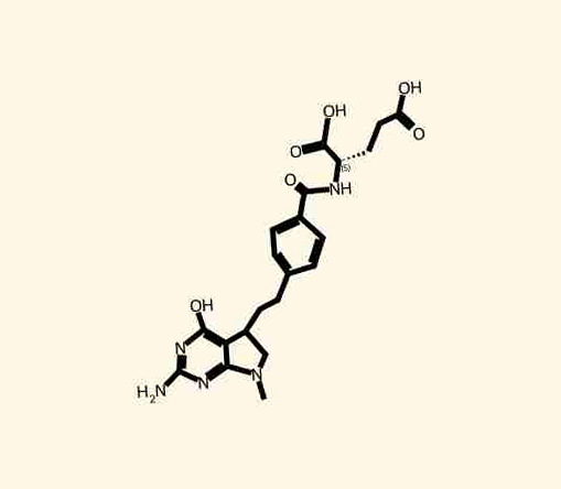 CN1CC(CCc2ccc(C(=O)N[C@@H](CCC(=O)O)C(=O)O)cc2)c2c(O)nc(N)nc21